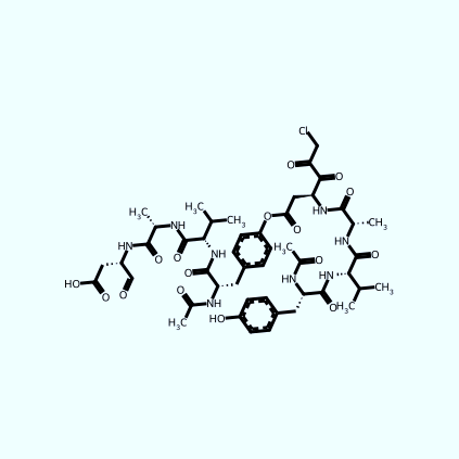 CC(=O)N[C@@H](Cc1ccc(OC(=O)C[C@H](NC(=O)[C@H](C)NC(=O)[C@@H](NC(=O)[C@H](Cc2ccc(O)cc2)NC(C)=O)C(C)C)C(=O)C(=O)CCl)cc1)C(=O)N[C@H](C(=O)N[C@@H](C)C(=O)N[C@H](C=O)CC(=O)O)C(C)C